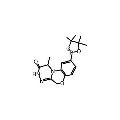 CC1C(=O)NN=C2COc3ccc(B4OC(C)(C)C(C)(C)O4)cc3N21